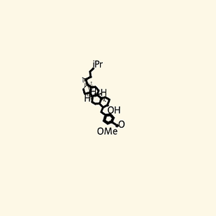 COC(=O)c1ccc(CC2C(O)CC[C@@]3(C)C2CC[C@H]2[C@@H]4CC[C@H]([C@H](C)CCCC(C)C)[C@@]4(C)CC[C@@H]23)cc1